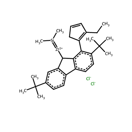 CCC1=C(c2c(C(C)(C)C)ccc3c2[CH]([Zr+2]=[Si](C)C)c2cc(C(C)(C)C)ccc2-3)CC=C1.[Cl-].[Cl-]